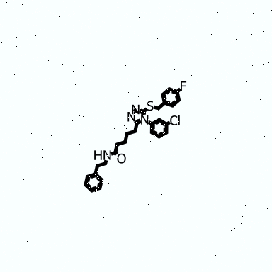 O=C(CCCCc1nnc(SCc2ccc(F)cc2)n1-c1cccc(Cl)c1)NCCc1ccccc1